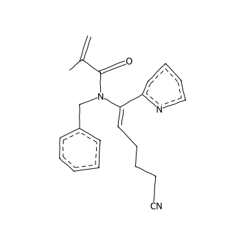 C=C(C)C(=O)N(Cc1ccccc1)C(=CCCCC#N)c1ccccn1